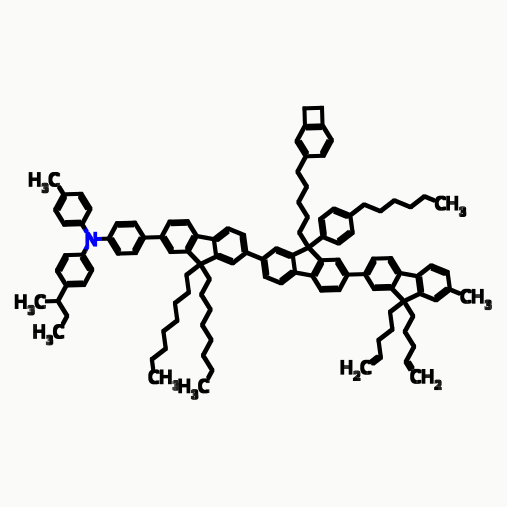 C=CCCCC1(CCCC=C)c2cc(C)ccc2-c2ccc(-c3ccc4c(c3)C(CCCCCc3ccc5c(c3)CC5)(c3ccc(CCCCCC)cc3)c3cc(-c5ccc6c(c5)C(CCCCCCCC)(CCCCCCCC)c5cc(-c7ccc(N(c8ccc(C)cc8)c8ccc(C(C)CC)cc8)cc7)ccc5-6)ccc3-4)cc21